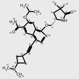 CC(C)Oc1cc2c(OC[C@@H]3CC(F)(F)C(=O)N3)ncc(C#CC3CC(N(C)C)C3)c2cc1C(N)=O